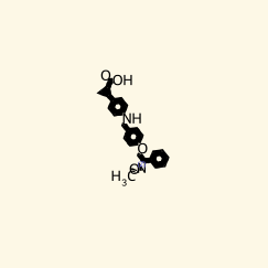 CO/N=C(\COc1ccc(CNc2ccc(C3CC3C(=O)O)cc2)cc1)c1ccccc1